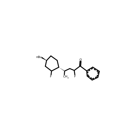 CCCC[C@H]1CC[C@H](C(C)CC(F)C(=O)c2ccccc2)C(F)C1